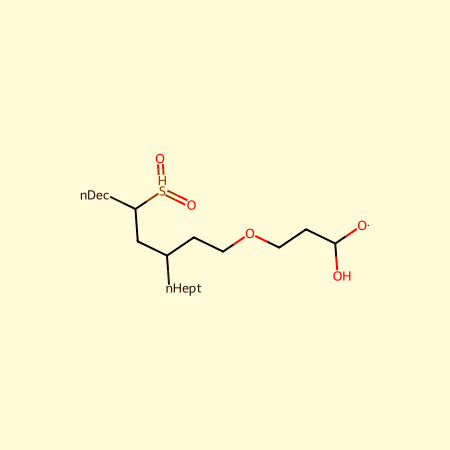 CCCCCCCCCCC(CC(CCCCCCC)CCOCCC([O])O)[SH](=O)=O